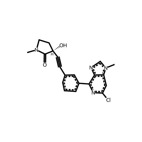 CN1CC[C@@](O)(C#Cc2cccc(-c3nc(Cl)cc4c3ncn4C)c2)C1=O